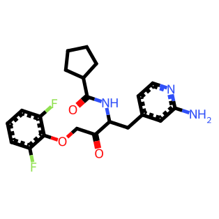 Nc1cc(CC(NC(=O)C2CCCC2)C(=O)COc2c(F)cccc2F)ccn1